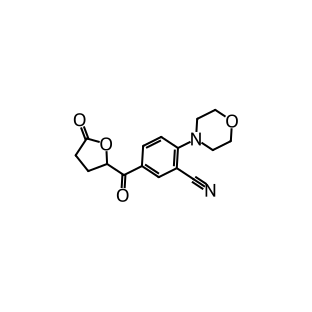 N#Cc1cc(C(=O)C2CCC(=O)O2)ccc1N1CCOCC1